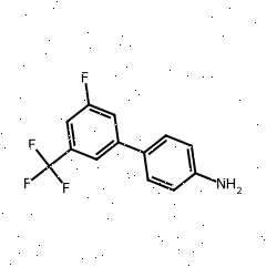 Nc1ccc(-c2cc(F)cc(C(F)(F)F)c2)cc1